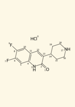 Cl.O=c1[nH]c2cc(F)c(F)cc2cc1C1CCNCC1